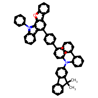 CC1(C)c2ccccc2-c2ccc(N(c3ccc(-c4ccc(-c5cc6c7ccccc7oc6c6c5c5ccccc5n6-c5ccccc5)cc4)cc3)c3ccccc3-c3ccccc3)cc21